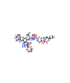 N#Cc1ccc(OC2CCN(C3=NC(C(Nc4ccc(CN5CCOCC5)cc4C(=O)NC4CCOCC4)=C4CC4)CO3)CC2)nc1